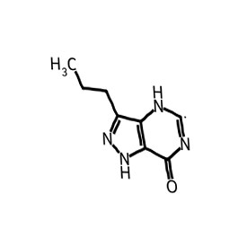 CCCc1n[nH]c2c(=O)n[c][nH]c12